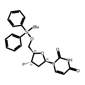 CC(C)(C)[Si](OC[C@H]1O[C@@H](n2ccc(=O)[nH]c2=O)C[C@@H]1F)(c1ccccc1)c1ccccc1